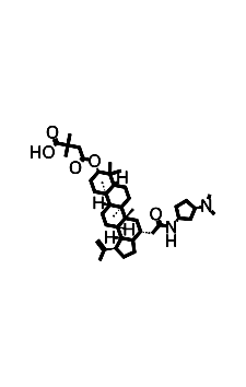 C=C(C)[C@@H]1CCC2[C@@H](CC(=O)N[C@H]3CC[C@@H](N(C)C)C3)C[C@]3(C)[C@H](CC[C@@H]4[C@@]5(C)CC[C@H](OC(=O)CC(C)(C)C(=O)O)C(C)(C)[C@@H]5CC[C@]43C)[C@H]21